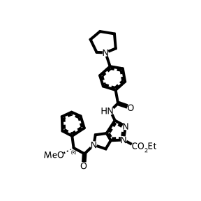 CCOC(=O)n1nc(NC(=O)c2ccc(N3CCCCC3)cc2)c2c1CN(C(=O)[C@H](OC)c1ccccc1)C2